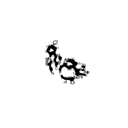 C[C@@H]1CCC[C@H](n2cnc(-c3cc(Cl)ccc3-n3cc(C#N)nn3)cc2=O)c2cc(ccn2)-c2c(cnn2C)NC1=O